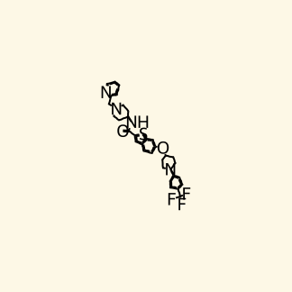 O=C(NC1CCN(Cc2ccccn2)CC1)c1cc2ccc(OC3CCN(c4ccc(C(F)(F)F)cc4)CC3)cc2s1